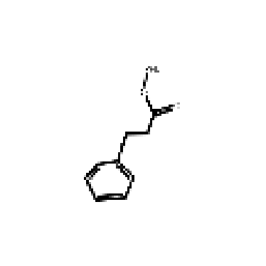 O=C(CCc1ccccc1)OP